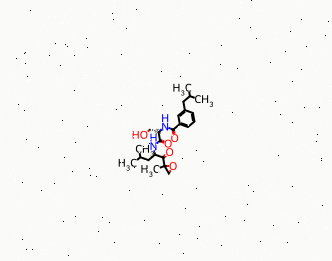 CC(C)Cc1cccc(C(=O)N[C@@H](CO)C(=O)NC(CC(C)C)C(=O)C2(C)CO2)c1